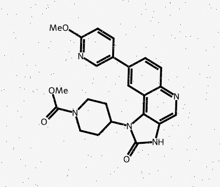 COC(=O)N1CCC(n2c(=O)[nH]c3cnc4ccc(-c5ccc(OC)nc5)cc4c32)CC1